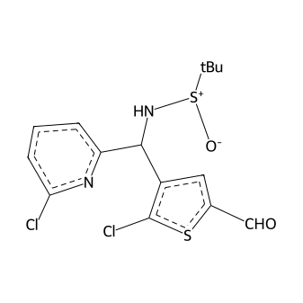 CC(C)(C)[S+]([O-])NC(c1cccc(Cl)n1)c1cc(C=O)sc1Cl